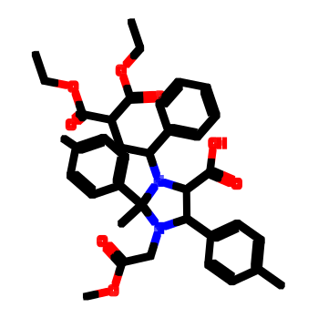 CCOC(=O)C(CC(c1ccccc1)N1C(C(=O)O)C(c2ccc(C)cc2)N(CC(=O)OC)C1(C)c1ccc(C)cc1)C(=O)OCC